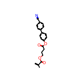 C=C(C)C(=O)OCCCC(=O)Oc1ccc(-c2ccc(C#N)cc2)cc1